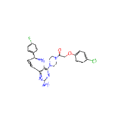 Nc1nc(N2CCN(C(=O)COc3ccc(Cl)cc3)CC2)c2nc(-c3ccc(F)cc3)ccc2n1